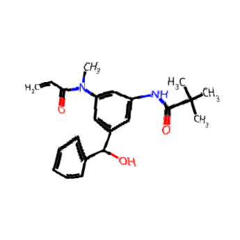 C=CC(=O)N(C)c1cc(NC(=O)C(C)(C)C)cc(C(O)c2ccccc2)c1